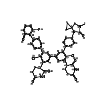 CN1CC2(CC2)N(c2ccc(-c3cc(-c4cc(-c5ccc(-n6c(F)cccc6=O)nc5)c(Cl)c(C5CCC(=O)NC5=O)c4)cc(C4CCC(=O)NC4=O)c3Cl)cc2)C1=O